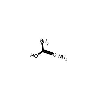 BC(=O)O.N